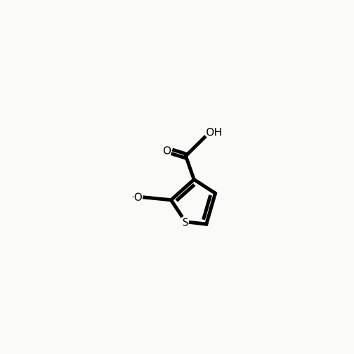 [O]c1sccc1C(=O)O